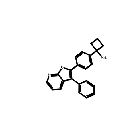 NC1(c2ccc(-c3oc4ncccc4c3-c3ccccc3)cc2)CCC1